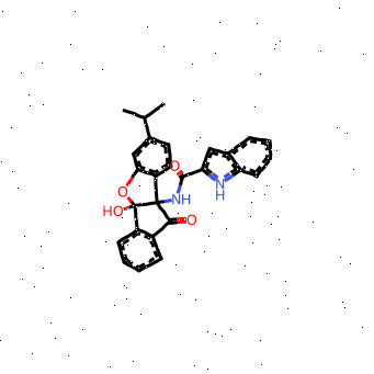 CC(C)c1ccc2c(c1)OC1(O)c3ccccc3C(=O)C21NC(=O)c1cc2ccccc2[nH]1